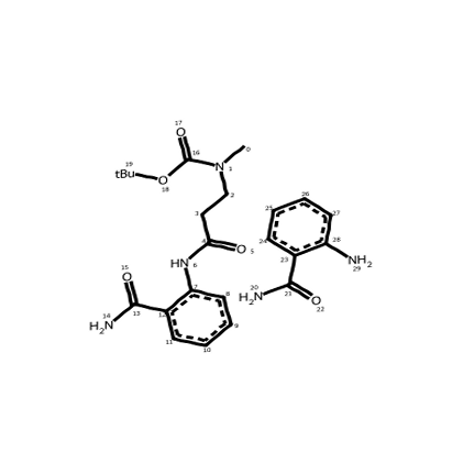 CN(CCC(=O)Nc1ccccc1C(N)=O)C(=O)OC(C)(C)C.NC(=O)c1ccccc1N